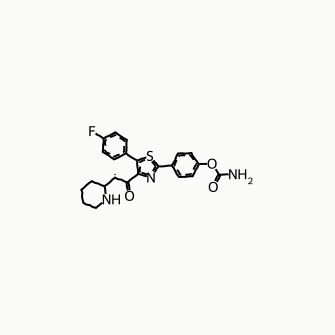 NC(=O)Oc1ccc(-c2nc(C(=O)[CH]C3CCCCN3)c(-c3ccc(F)cc3)s2)cc1